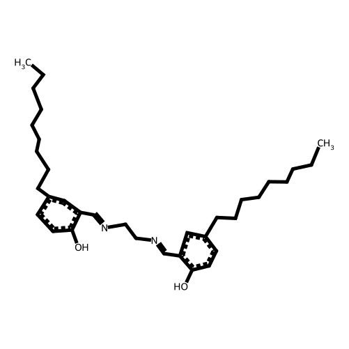 CCCCCCCCCc1ccc(O)c(C=NCCN=Cc2cc(CCCCCCCCC)ccc2O)c1